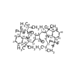 CC(C)CCN1/C(=C\C2=C(O)C(=C\C3=[N+](CCC(C)C)c4c(C(F)(F)F)cccc4C3(C)C)/C2=O)C(C)(C)c2cccc(C(F)(F)F)c21